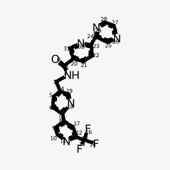 O=C(NCc1ccc(-c2ccnc(C(F)(F)F)c2)nc1)c1ccc(-c2cnccn2)nc1